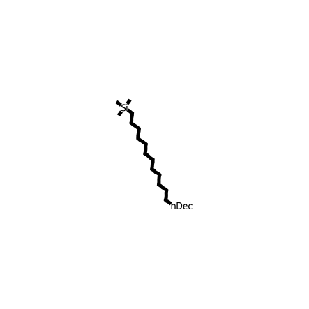 CCCCCCCCCCCCCCCCCCCCCC[Si](C)(C)C